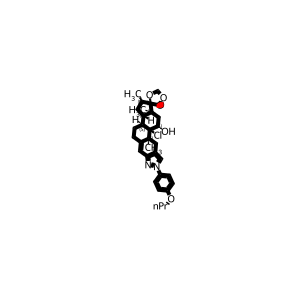 CCCOc1ccc(-n2cc3c(n2)C=C2CC[C@H]4[C@@H]5C[C@@H](C)[C@@]6(OCOC67COCO7)[C@@]5(C)C[C@H](O)[C@]4(Cl)[C@@]2(C)C3)cc1